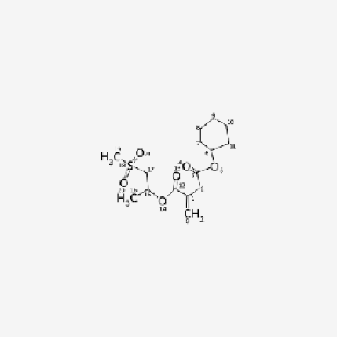 C=C(CC(=O)OC1CCCCC1)C(=O)OC(C)CS(C)(=O)=O